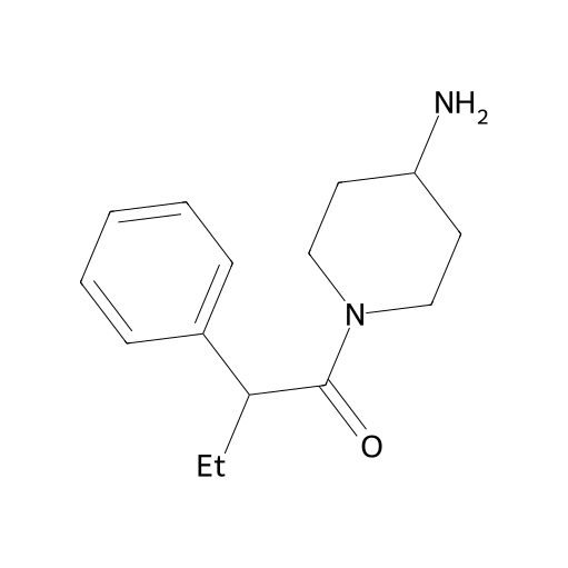 CCC(C(=O)N1CCC(N)CC1)c1ccccc1